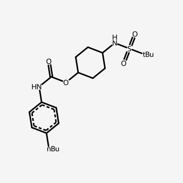 CCCCc1ccc(NC(=O)OC2CCC(NS(=O)(=O)C(C)(C)C)CC2)cc1